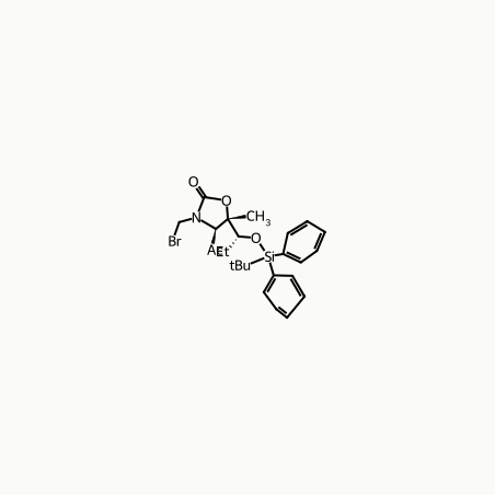 CC[C@@H](O[Si](c1ccccc1)(c1ccccc1)C(C)(C)C)[C@@]1(C)OC(=O)N(CBr)[C@@H]1C(C)=O